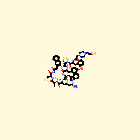 CC(C)C(NC(=O)C(CCCCN)NC(=O)[C@@H](Cc1c[nH]c2ccccc12)NC(=O)C(Cc1ccc(O)cc1)NC(=O)[C@@H](CS)NC(=O)C(Cc1ccccc1)NC(=O)CN1CCN(CCO)CC1)C(=O)NC(CS)C(=O)NC(=O)Cc1ccc2ccccc2c1